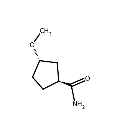 CO[C@H]1CC[C@H](C(N)=O)C1